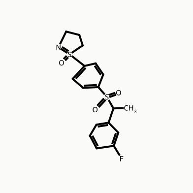 CC(c1cccc(F)c1)S(=O)(=O)c1ccc(S2(=O)=NCCC2)cc1